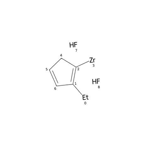 CCC1=[C]([Zr])CC=C1.F.F